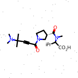 CC(C)C(C(=O)O)N(C)C(=O)[C@H]1CCN(C(=O)C#CC(C)(C)N(C)C)C1